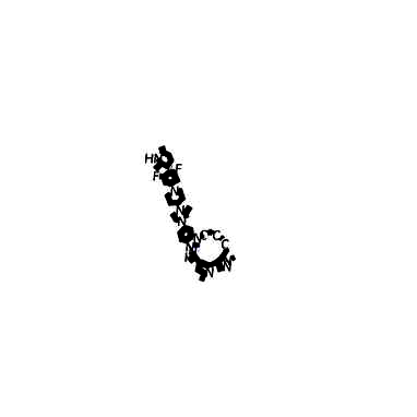 C=C1CC[C@H](c2c(F)cc(N3CCC(N4CCN(c5ccc6c(c5)N5CCCCCCc7c(cnn7C)-c7cc(cc(C)n7)C(=C)/N=C/5N6)CC4=C)CC3)cc2F)C(=C)N1